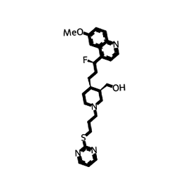 COc1ccc2nccc([C@H](F)CC[C@@H]3CCN(CCCSc4ncccn4)C[C@@H]3CO)c2c1